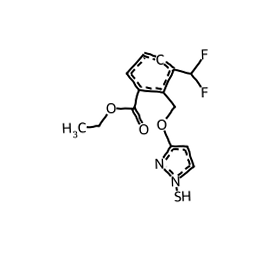 CCOC(=O)c1cccc(C(F)F)c1COc1ccn(S)n1